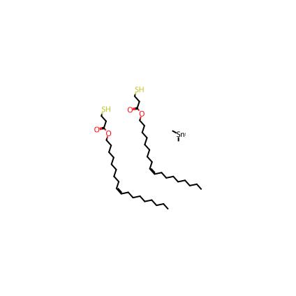 CCCCCCCC/C=C\CCCCCCCCOC(=O)CCS.CCCCCCCC/C=C\CCCCCCCCOC(=O)CCS.[CH3][Sn][CH3]